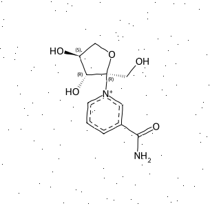 NC(=O)c1ccc[n+]([C@]2(CO)OC[C@H](O)[C@H]2O)c1